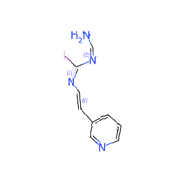 N\C=N/C(I)=N\C=C\c1cccnc1